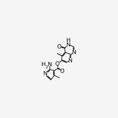 Cc1ccnc(N)c1C(=O)Oc1cnc2nc[nH]c(=O)c2c1C